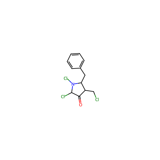 O=C1C(CCl)C(Cc2ccccc2)N(Cl)C1Cl